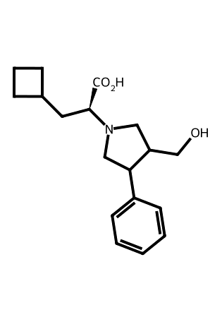 O=C(O)[C@H](CC1CCC1)N1CC(CO)C(c2ccccc2)C1